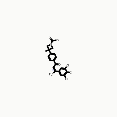 CC(C)C(=O)N1CC(F)(c2ccc(C(=O)/C=C(\c3cc(Cl)c(Cl)c(Cl)c3)C(F)(F)F)cc2)C1